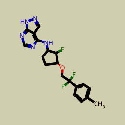 Cc1ccc(C(F)(F)CO[C@H]2CCC(Nc3ncnc4[nH]ncc34)C2F)cc1